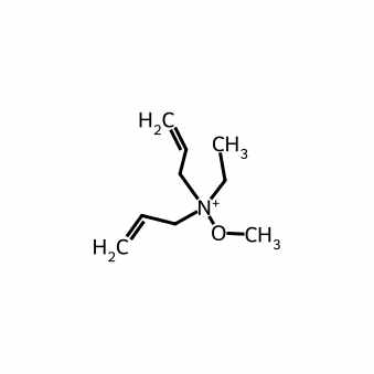 C=CC[N+](CC)(CC=C)OC